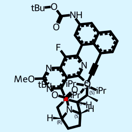 COc1nc2c3c(nc(-c4cc(NC(=O)OC(C)(C)C)cc5cccc(C#C[Si](C(C)C)(C(C)C)C(C)C)c45)c(F)c3n1)O[C@@H](C)[C@@H]1[C@@H]3CC[C@H](CN21)N3C(=O)OC(C)(C)C